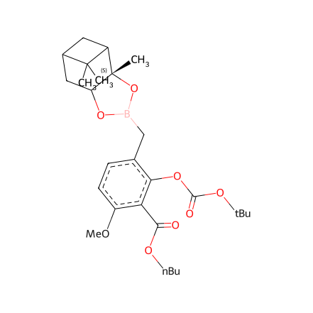 CCCCOC(=O)c1c(OC)ccc(CB2OC3CC4CC(C4(C)C)[C@]3(C)O2)c1OC(=O)OC(C)(C)C